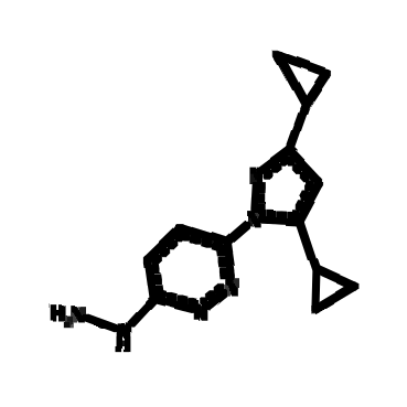 NNc1ccc(-n2nc(C3CC3)cc2C2CC2)nn1